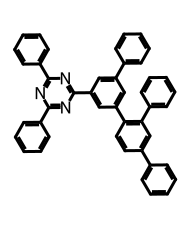 c1ccc(-c2cc(-c3nc(-c4ccccc4)nc(-c4ccccc4)n3)cc(-c3ccc(-c4ccccc4)cc3-c3ccccc3)c2)cc1